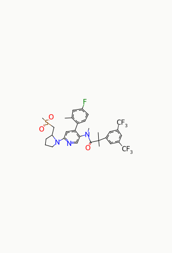 Cc1cc(F)ccc1-c1cc(N2CCCC2CS(C)(=O)=O)ncc1N(C)C(=O)C(C)(C)c1cc(C(F)(F)F)cc(C(F)(F)F)c1